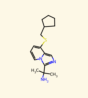 CC(C)(N)c1ncc2c(SCC3CCCC3)cccn12